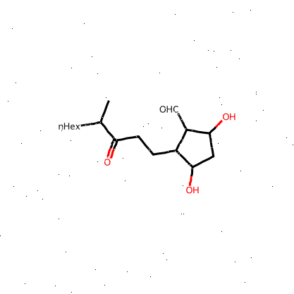 CCCCCCC(C)C(=O)CCC1C(O)CC(O)C1C=O